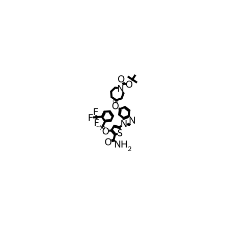 C[C@@H](Oc1cc(-n2cnc3ccc(O[C@H]4CCCN(C(=O)OC(C)(C)C)CC4)cc32)sc1C(N)=O)c1ccccc1C(F)(F)F